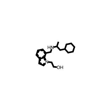 CC(CC1CCCCC1)NCc1cccc2ccn(CCO)c12